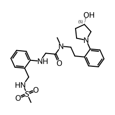 CN(CCc1ccccc1N1CC[C@H](O)C1)C(=O)CNc1ccccc1CNS(C)(=O)=O